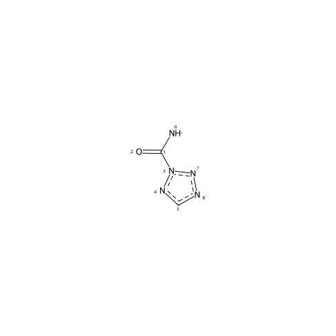 [NH]C(=O)n1ncnn1